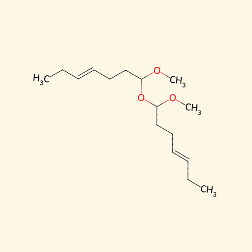 CCC=CCCC(OC)OC(CCC=CCC)OC